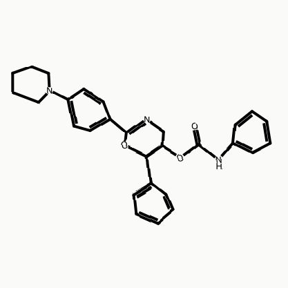 O=C(Nc1ccccc1)OC1CN=C(c2ccc(N3CCCCC3)cc2)OC1c1ccccc1